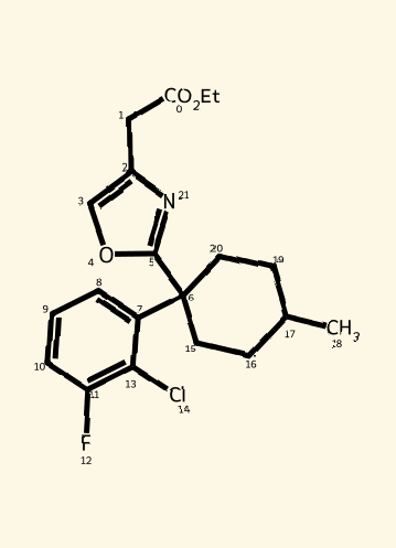 CCOC(=O)Cc1coc(C2(c3cccc(F)c3Cl)C[CH]C(C)CC2)n1